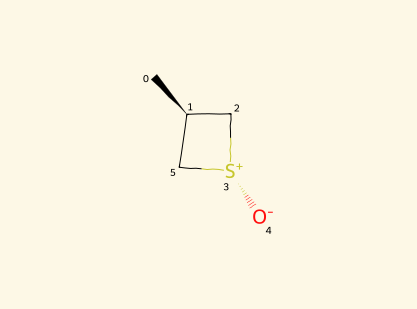 C[C@H]1C[S@+]([O-])C1